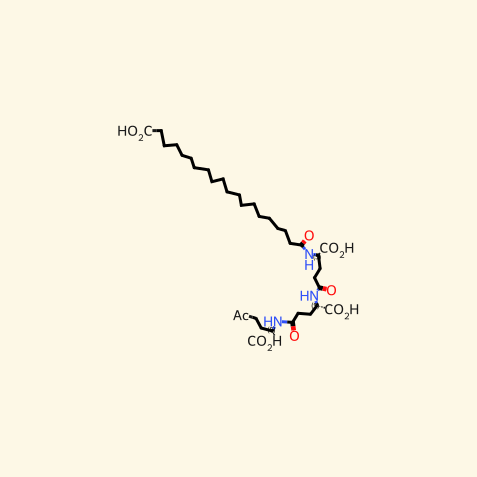 CC(=O)CC[C@H](NC(=O)CC[C@H](NC(=O)CC[C@H](NC(=O)CCCCCCCCCCCCCCCCCCC(=O)O)C(=O)O)C(=O)O)C(=O)O